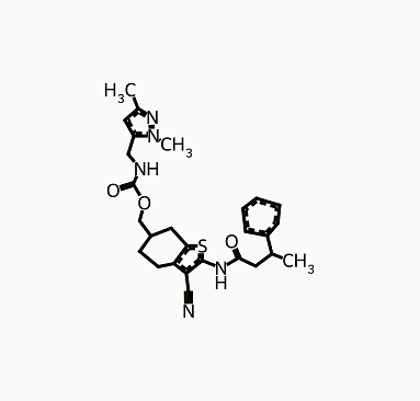 Cc1cc(CNC(=O)OCC2CCc3c(sc(NC(=O)CC(C)c4ccccc4)c3C#N)C2)n(C)n1